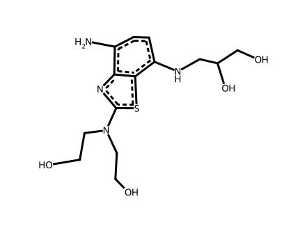 Nc1ccc(NCC(O)CO)c2sc(N(CCO)CCO)nc12